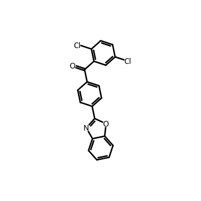 O=C(c1ccc(-c2nc3ccccc3o2)cc1)c1cc(Cl)ccc1Cl